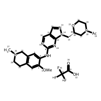 COc1cc2c(cc1Nc1ncc3cnn(C[C@H]4CN(C(C)=O)CCO4)c3n1)CN(C)CC2.O=C(O)C(F)(F)F